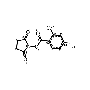 O=C(ON1C(=O)CCC1=O)c1ccc(Cl)cc1Cl